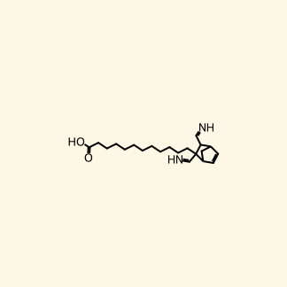 N=CC1C2C=CC(C2)C1(C=N)CCCCCCCCCCCC(=O)O